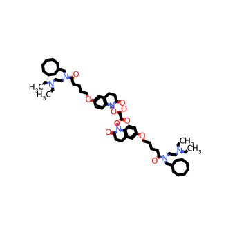 CCN(CC)CCN(CC1CCCCCCC1)C(=O)CCCCOc1ccc2c(c1)CCC(=O)N2OC(=O)C(=O)ON1C(=O)CCc2cc(OCCCCC(=O)N(CCN(CC)CC)CC3CCCCCCC3)ccc21